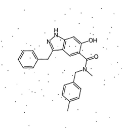 Cc1ccc(CN(C)C(=O)c2cc3c(Cc4ccccc4)n[nH]c3cc2O)cc1